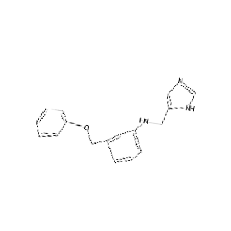 c1ccc(OCc2cccc(NCc3cnc[nH]3)c2)cc1